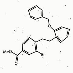 COC(=O)c1ccc(CCc2ccccc2OCc2ccccc2)c(Br)c1